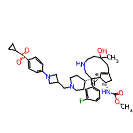 COC(=O)N[C@H]1CC2=C[C@@H]1[C@](c1cccc(F)c1)(C1CCN(CC3CN(c4ccc(S(=O)(=O)C5CC5)cc4)C3)CC1)CNCCC(C)(O)C2